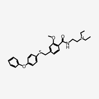 CCN(CC)CCNC(=O)c1ccc(CSc2ccc(Oc3ccccc3)cc2)cc1OC